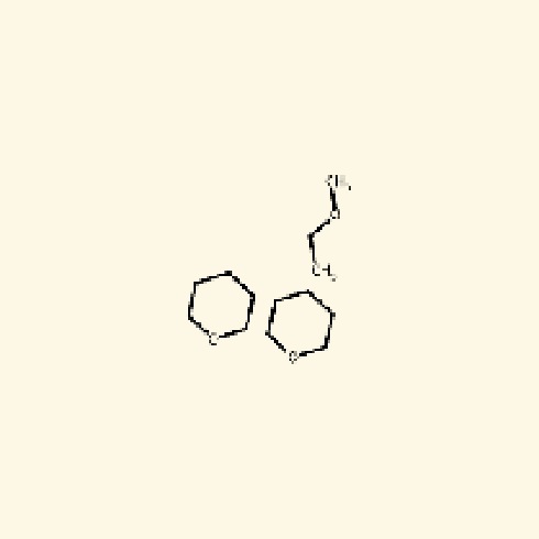 C1CCOCC1.C1CCOCC1.CCOC